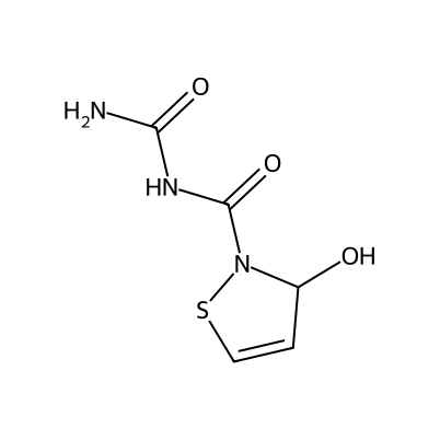 NC(=O)NC(=O)N1SC=CC1O